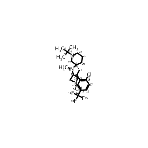 CN1CC(N(C)[C@]2(CCc3cc(C(F)(F)F)ccc3Cl)CCCN(C(C)(C)C)C2)C1